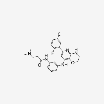 CN(C)CCC(=O)Nc1cc(Nc2cc(-c3cc(Cl)ccc3F)nc3c2OCCN3)ccn1